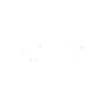 CS(=O)(=O)c1ccc2[nH]c(Cl)nc2c1